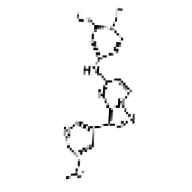 COc1cncc(-c2cnn3ccc(Nc4ccc(F)c(Cl)c4)nc23)c1